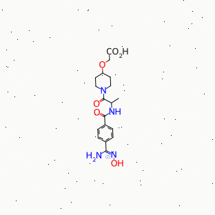 CC(NC(=O)c1ccc(/C(N)=N/O)cc1)C(=O)N1CCC(OCC(=O)O)CC1